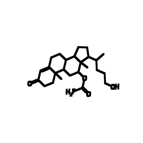 CC(CCCO)C1CCC2C3CCC4=CC(=O)CCC4(C)C3CC(OC(=O)P)C12C